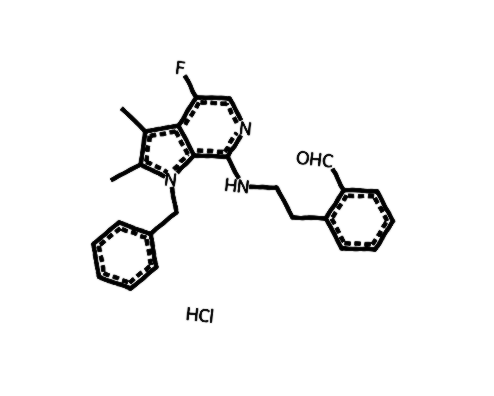 Cc1c(C)n(Cc2ccccc2)c2c(NCCc3ccccc3C=O)ncc(F)c12.Cl